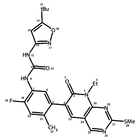 CCn1c(=O)c(-c2cc(NC(=O)Nc3cc(C(C)(C)C)on3)c(F)cc2C)cc2cnc(SC)nc21